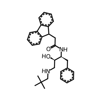 CC(C)(C)CNC[C@@H](O)[C@H](Cc1ccccc1)NC(=O)CC1c2ccccc2-c2ccccc21